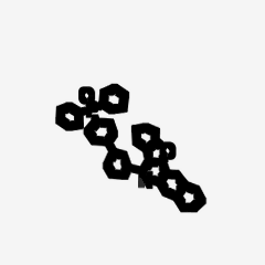 O=P(c1ccccc1)(c1ccccc1)c1ccc(-c2cccc(-c3nc4cc5ccccc5cc4c4oc5ccccc5c34)c2)cc1